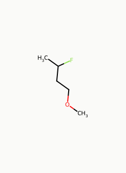 COCCC(C)F